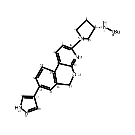 CC(C)(C)N[C@H]1CCN(c2ccc3c(n2)OCc2cc(-c4cn[nH]c4)ccc2-3)C1